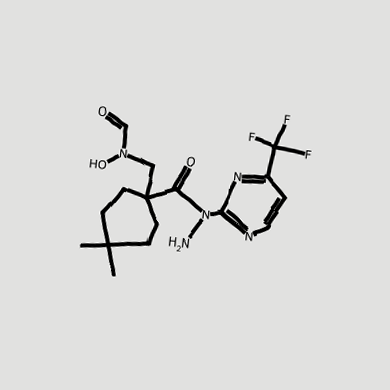 CC1(C)CCC(CN(O)C=O)(C(=O)N(N)c2nccc(C(F)(F)F)n2)CC1